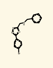 Brc1ccc(-c2nnc(CNCc3ccccc3)o2)cc1